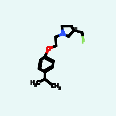 CC(C)c1ccc(OCCN2CC[C@@H](CF)C2)cc1